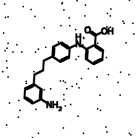 Nc1cccc(CCCc2ccc(Nc3ccccc3C(=O)O)cc2)c1